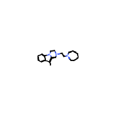 Cc1c2n(c3ccccc13)CCN(CCN1CCCCCC1)C2